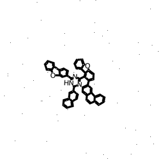 c1ccc2cc(C3N=C(c4c(-c5ccc6ccc7ccccc7c6c5)ccc5oc6ccccc6c45)N=C(c4ccc5c(c4)oc4ccccc45)N3)ccc2c1